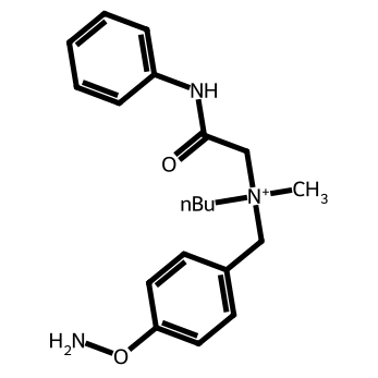 CCCC[N+](C)(CC(=O)Nc1ccccc1)Cc1ccc(ON)cc1